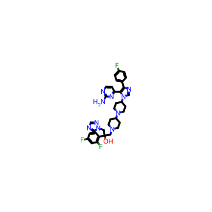 Nc1nccc(-c2c(-c3ccc(F)cc3)ncn2C2CCN(C3CCN(CC(O)(Cn4cncn4)c4ccc(F)cc4F)CC3)CC2)n1